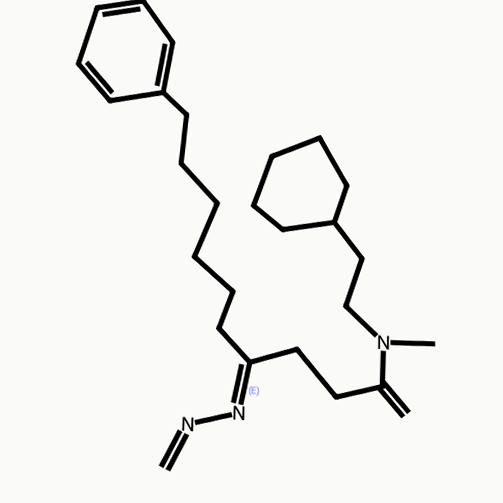 C=N/N=C(\CCCCCCc1ccccc1)CCC(=C)N(C)CCC1CCCCC1